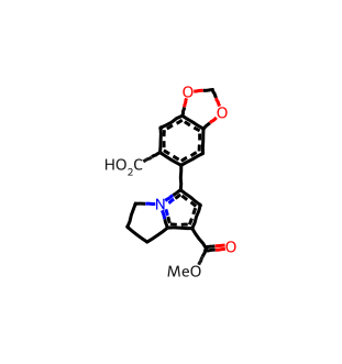 COC(=O)c1cc(-c2cc3c(cc2C(=O)O)OCO3)n2c1CCC2